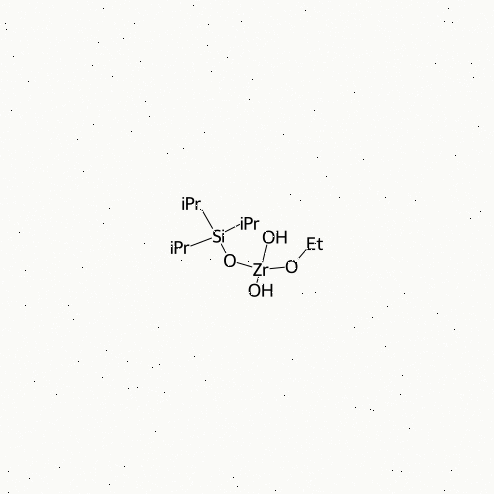 CC[O][Zr]([OH])([OH])[O][Si](C(C)C)(C(C)C)C(C)C